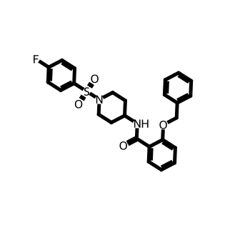 O=C(NC1CCN(S(=O)(=O)c2ccc(F)cc2)CC1)c1ccccc1OCc1ccccc1